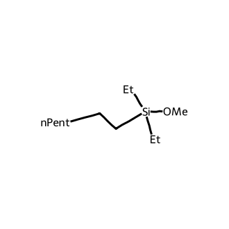 CCCCCCC[Si](CC)(CC)OC